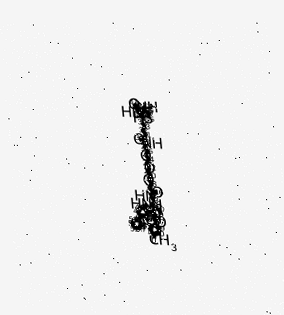 Cc1ccc(S(=O)(=O)N2CC[C@@H]3[C@H](CNC(=O)CCOCCOCCOCCNC(=O)CCCC[C@H]4SC[C@@H]5NC(=O)N[C@H]54)Nc4ccc(-c5ccccc5F)cc4[C@@H]32)cc1